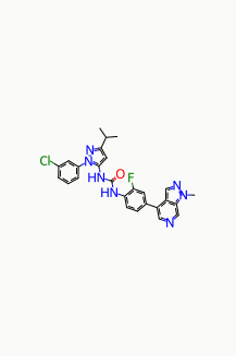 CC(C)c1cc(NC(=O)Nc2ccc(-c3cncc4c3cnn4C)cc2F)n(-c2cccc(Cl)c2)n1